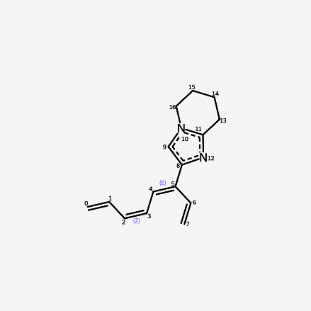 C=C/C=C\C=C(/C=C)c1cn2c(n1)CCCC2